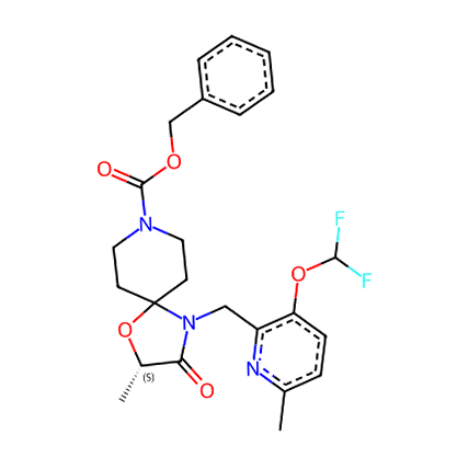 Cc1ccc(OC(F)F)c(CN2C(=O)[C@H](C)OC23CCN(C(=O)OCc2ccccc2)CC3)n1